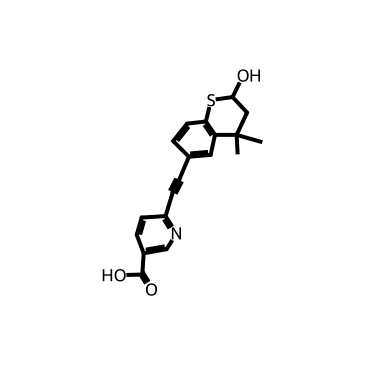 CC1(C)CC(O)Sc2ccc(C#Cc3ccc(C(=O)O)cn3)cc21